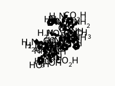 CC[C@H](C)[C@H](NC(=O)[C@H](CCCCN)NC(=O)[C@H](CC(=O)O)NC(=O)[C@H](Cc1ccc(O)cc1)NC(=O)[C@H](Cc1ccccc1)NC(=O)[C@H](C)NC(=O)[C@H](CCCCN)NC(=O)[C@H](Cc1ccccc1)NC(=O)[C@H](Cc1c[nH]c2ccccc12)NC(=O)[C@@H](N)CC(=O)O)C(=O)N[C@@H](CC(N)=O)C(=O)N[C@@H](CCC(=O)O)C(=O)N[C@H](C(=O)N[C@@H](Cc1ccc(O)cc1)C(=O)N[C@@H](CC(N)=O)C(=O)N[C@@H](CCCCN)C(=O)O)[C@@H](C)O